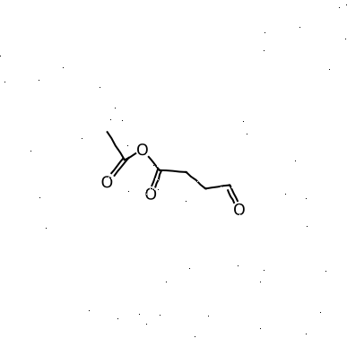 CC(=O)OC(=O)CCC=O